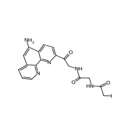 Nc1cc2cccnc2c2nc(C(=O)CNC(=O)CNC(=O)CI)ccc12